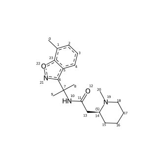 Cc1cccc2c(C(C)(C)NC(=O)C[C@@H]3CCCCN3C)noc12